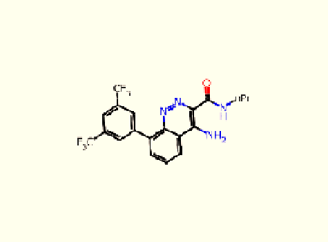 CCCNC(=O)c1nnc2c(-c3cc(C(F)(F)F)cc(C(F)(F)F)c3)cccc2c1N